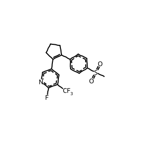 CS(=O)(=O)c1ccc(C2=C(c3cnc(F)c(C(F)(F)F)c3)CCC2)cc1